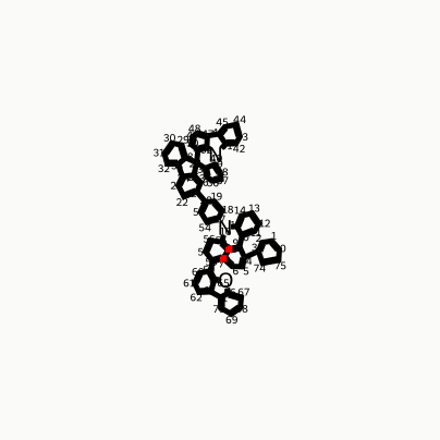 c1ccc(-c2ccccc2-c2ccccc2N(c2ccc(-c3ccc4c(c3)C3(c5ccccc5-4)c4ccccc4-n4c5ccccc5c5cccc3c54)cc2)c2ccc(-c3cccc4c3oc3ccccc34)cc2)cc1